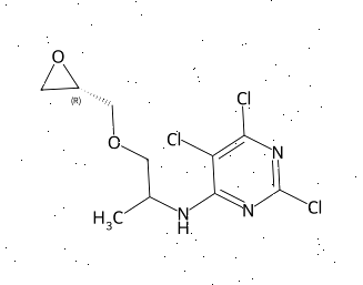 CC(COC[C@@H]1CO1)Nc1nc(Cl)nc(Cl)c1Cl